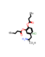 CC(C)(C)CCC(=O)Oc1ccc(C[C@H](N)C(=O)O)cc1OC(=O)CCC(C)(C)C.Cl